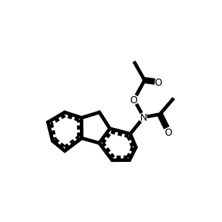 CC(=O)ON(C(C)=O)c1cccc2c1Cc1ccccc1-2